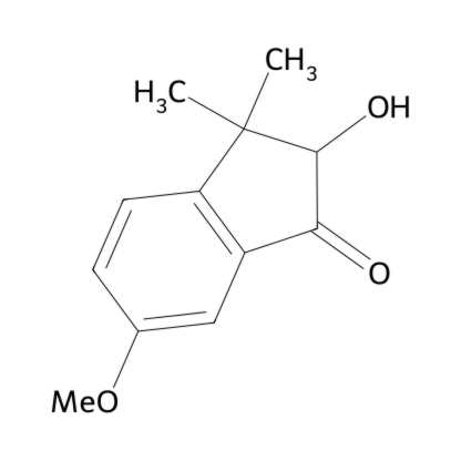 COc1ccc2c(c1)C(=O)C(O)C2(C)C